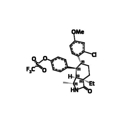 CC[C@@]12CC[C@@H](c3ccc(OC)cc3Cl)[C@H](c3ccc(OS(=O)(=O)C(F)(F)F)cc3)[C@@H]1[C@@H](C)NC2=O